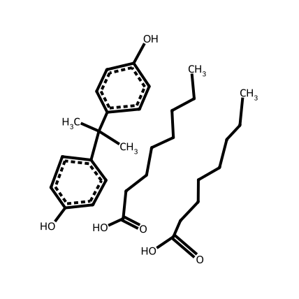 CC(C)(c1ccc(O)cc1)c1ccc(O)cc1.CCCCCCCC(=O)O.CCCCCCCC(=O)O